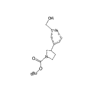 CC(C)(C)OC(=O)N1CCC(c2ccnc(CO)c2)C1